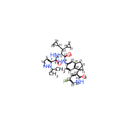 CC(C)n1nccc1C(=O)N[C@H](C(=O)Nc1ccc2c(c1)CC1CC21c1cc(F)c[nH]c1=O)C(C1CC1)C1CC1